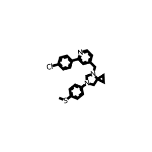 CSc1ccc(N2CN(Cc3ccnc(-c4ccc(Cl)cc4)c3)C3(CC3)C2)cc1